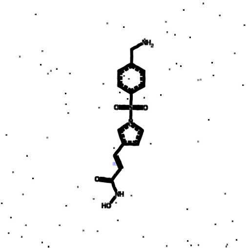 NCc1ccc(S(=O)(=O)n2ccc(/C=C/C(=O)NO)c2)cc1